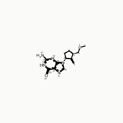 C=C1[C@H](COC)CC[C@@H]1n1cnc2c(=O)[nH]c(N)nc21